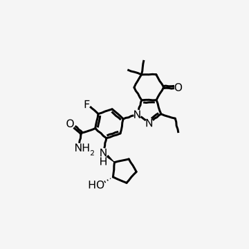 CCc1nn(-c2cc(F)c(C(N)=O)c(N[C@H]3CCC[C@@H]3O)c2)c2c1C(=O)CC(C)(C)C2